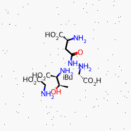 CC[C@H](C)[C@H](N)C(=O)O.C[C@@H](O)[C@H](N)C(=O)O.NC(=O)C[C@H](N)C(=O)O.NCC(=O)O